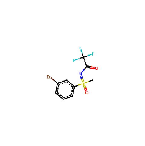 CS(=O)(=NC(=O)C(F)(F)F)c1cccc(Br)c1